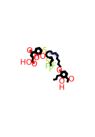 CCCc1c(OCCCC/C=C\C=C\C(Sc2ccc3c(=O)cc(C(=O)O)oc3c2)C(O)c2ccc(C(F)(F)F)s2)ccc(C(C)=O)c1O